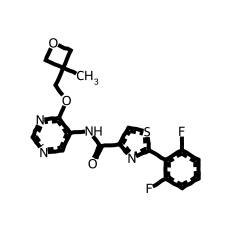 CC1(COc2ncncc2NC(=O)c2csc(-c3c(F)cccc3F)n2)COC1